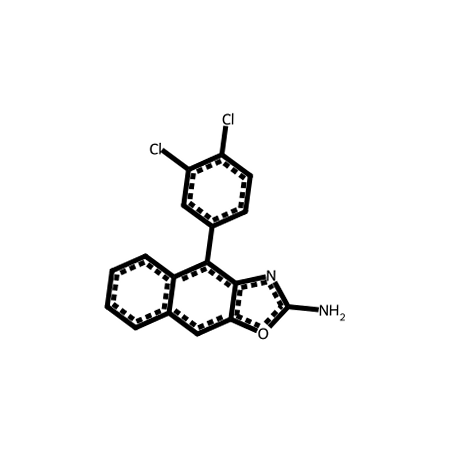 Nc1nc2c(-c3ccc(Cl)c(Cl)c3)c3ccccc3cc2o1